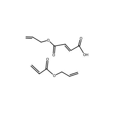 C=CCOC(=O)C=C.C=CCOC(=O)C=CC(=O)O